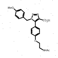 CCOC(=O)c1nnn(Cc2ccc(OC)cc2)c1-c1ccc(OCCNC(C)=O)cc1